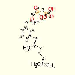 CC(C)=CCC/C(C)=C/c1cccc(COCP(=O)(CP(=O)(O)O)OC(C)C)c1